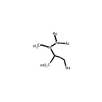 CC(=O)N(C(C)=O)N(C)C(CS)C(=O)O